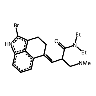 CCN(CC)C(=O)C(/C=C1\CCc2c(Br)[nH]c3cccc1c23)CNC